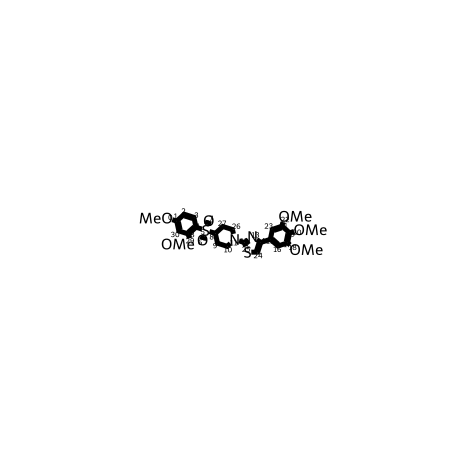 COc1ccc(S(=O)(=O)C2CCN(c3nc(-c4cc(OC)c(OC)c(OC)c4)cs3)CC2)c(OC)c1